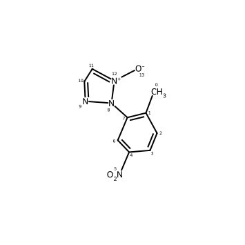 Cc1ccc([N+](=O)[O-])cc1-n1ncc[n+]1[O-]